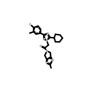 Cc1nc2c(s1)CN(C(=O)Cn1nc(-c3ccc(F)c(C)c3)nc1C1CCCCC1)C2